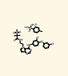 CC(C)(C(=O)NCCn1ccc2ncnc(Nc3ccc(Oc4cccc(Cl)c4)c(Cl)c3)c21)S(C)(=O)=O.Cc1ccc(S(=O)(=O)O)cc1.O